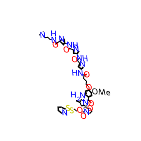 C=C1C[C@@H](C2OCCN2C(=O)OCCSSc2ccccn2)N(C(=O)c2cc(OC)c(OCCCC(=O)Nc3cc(C(=O)Nc4cc(C(=O)Nc5cc(C(=O)NCCCN(C)C)n(C)c5)n(C)c4)n(C)c3)cc2N)C1